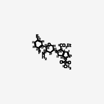 CCOC(=O)[C@H]1c2cnn(S(C)(=O)=O)c2CN1[C@H]1CO[C@H](c2cc(F)ccc2F)[C@@H](N)C1